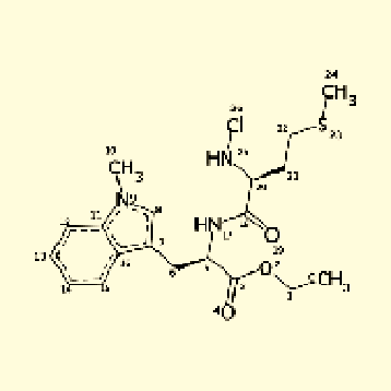 CCOC(=O)[C@@H](Cc1cn(C)c2ccccc12)NC(=O)[C@H](CCSC)NCl